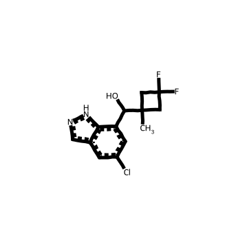 CC1(C(O)c2cc(Cl)cc3cn[nH]c23)CC(F)(F)C1